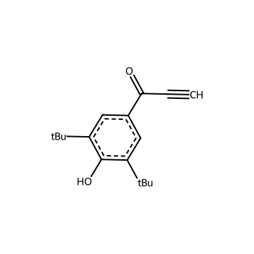 C#CC(=O)c1cc(C(C)(C)C)c(O)c(C(C)(C)C)c1